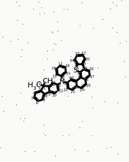 CC1(C)c2ccccc2-c2ccc(N(c3ccccc3)c3ccc4ccc5ccc6c7ccccc7sc6c5c4c3)cc21